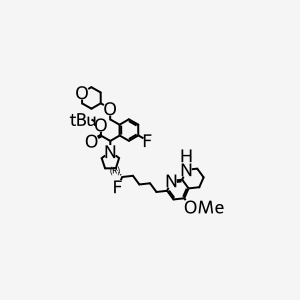 COc1cc(CCCCC(F)[C@@H]2CCN(C(C(=O)OC(C)(C)C)c3cc(F)ccc3COC3CCOCC3)C2)nc2c1CCCN2